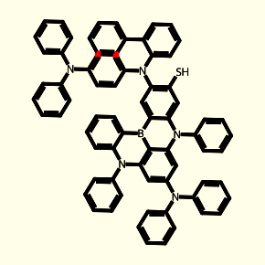 Sc1cc2c(cc1N(c1ccc(N(c3ccccc3)c3ccccc3)cc1)c1ccccc1-c1ccccc1)B1c3ccccc3N(c3ccccc3)c3cc(N(c4ccccc4)c4ccccc4)cc(c31)N2c1ccccc1